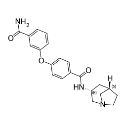 NC(=O)c1cccc(Oc2ccc(C(=O)N[C@@H]3C[C@@H]4CCN(C4)C3)cc2)c1